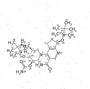 C[C@H]1CN(c2c(C(N)=O)cnc3c2CC[C@H]3O[Si](C)(C)C(C)(C)C)C[C@@H](OC(N)=O)[C@@H]1O[Si](C)(C)C(C)(C)C